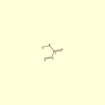 [CH]=C(C=C)CC